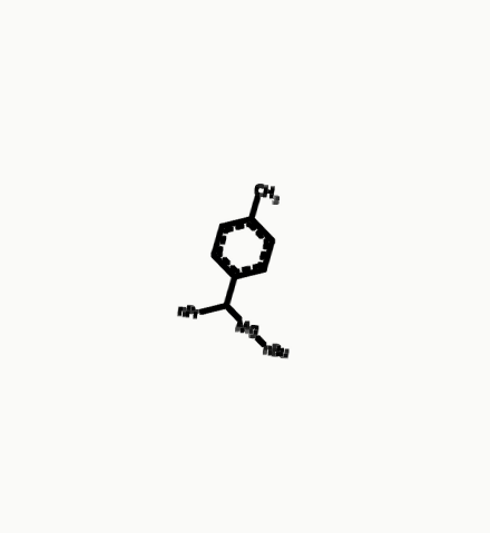 CCC[CH2][Mg][CH](CCC)c1ccc(C)cc1